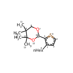 CCCCCCc1ccsc1B1OCC(C)(C)C(C)(C)O1